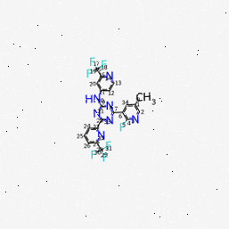 Cc1cnc(F)c(-c2nc(Nc3ccnc(C(F)(F)F)c3)nc(-c3cccc(C(F)(F)F)n3)n2)c1